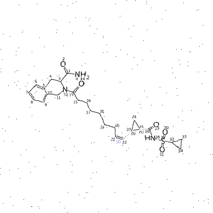 NC(=O)C1Cc2ccccc2CN1C(=O)CCCCCC/C=C\[C@@H]1C[C@@H]1C(=O)NS(=O)(=O)C1CC1